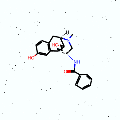 CN1CC[C@]23C[C@@H](NC(=O)c4ccccc4)C[C@@]2(O)[C@H]1Cc1ccc(O)cc13